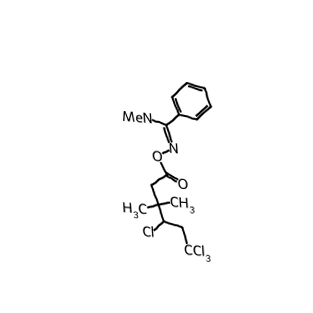 CNC(=NOC(=O)CC(C)(C)C(Cl)CC(Cl)(Cl)Cl)c1ccccc1